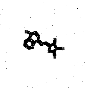 CCN1C(=O)C(=CC=C2C=CN(CC)c3ccccc32)SC1=S